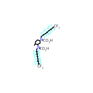 CC1CCC(N(CC(F)(F)C(F)(F)C(F)(F)C(F)(F)C(F)(F)C(F)(F)C(F)(F)F)C(=O)O)CC1N(CC(F)(F)C(F)(F)C(F)(F)C(F)(F)C(F)(F)C(F)(F)C(F)(F)F)C(=O)O